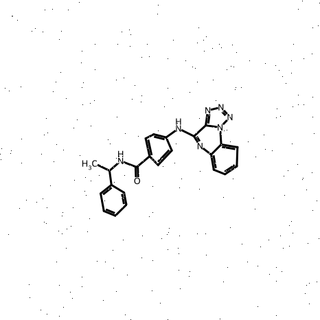 CC(NC(=O)c1ccc(Nc2nc3ccccc3n3nnnc23)cc1)c1ccccc1